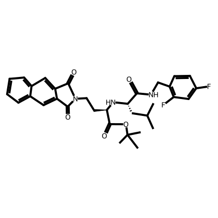 CC(C)C[C@H](N[C@H](CCN1C(=O)c2cc3ccccc3cc2C1=O)C(=O)OC(C)(C)C)C(=O)NCc1ccc(F)cc1F